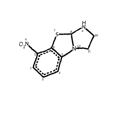 O=[N+]([O-])c1cccc2c1SC1NCCN21